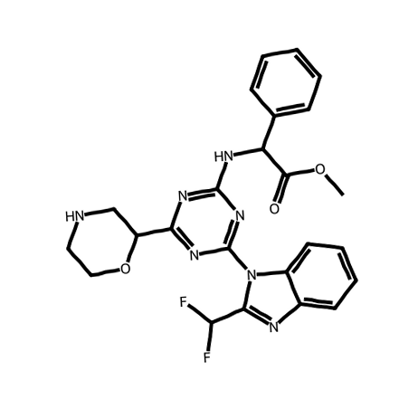 COC(=O)C(Nc1nc(C2CNCCO2)nc(-n2c(C(F)F)nc3ccccc32)n1)c1ccccc1